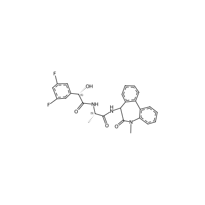 C[C@H](NC(=O)[C@@H](O)c1cc(F)cc(F)c1)C(=O)NC1C(=O)N(C)c2ccccc2-c2ccccc21